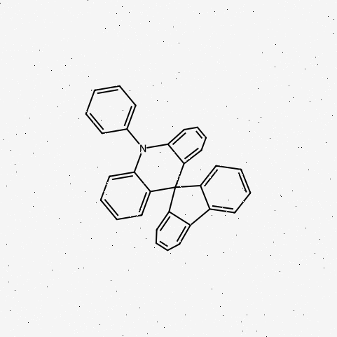 [c]1ccc(N2c3ccccc3C3(c4ccccc4-c4ccccc43)c3ccccc32)cc1